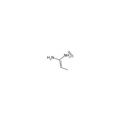 C=C.CC=C(N)N